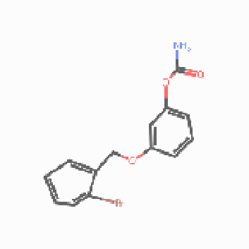 NC(=O)Oc1cccc(OCc2ccccc2Br)c1